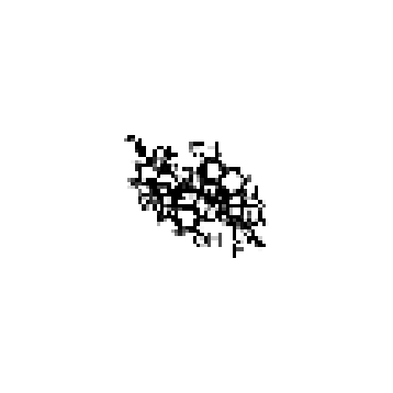 C#C[C@]1(O)CC[C@H]2[C@@H]3CCc4cc(O)cc(C(C(=O)O)(c5cc(O)cc6c5[C@H]5CCC7(C)[C@@H](CC[C@@]7(O)C#C)[C@@H]5CC6)C(O)C(=O)O)c4[C@H]3CCC21C